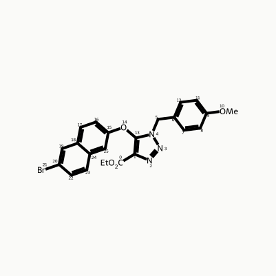 CCOC(=O)c1nnn(Cc2ccc(OC)cc2)c1Oc1ccc2cc(Br)ccc2c1